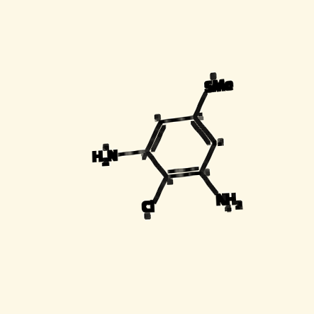 CSc1cc(N)c(Cl)c(N)c1